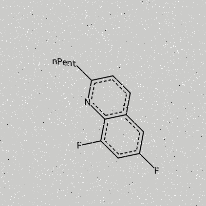 CCCCCc1ccc2cc(F)cc(F)c2n1